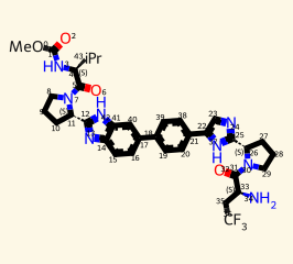 COC(=O)N[C@H](C(=O)N1CCC[C@H]1c1nc2ccc(-c3ccc(-c4cnc([C@@H]5CCCN5C(=O)[C@@H](N)CC(F)(F)F)[nH]4)cc3)cc2[nH]1)C(C)C